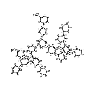 N#Cc1cccc(-c2ccc(-c3nc(-c4ccc(-c5cccc(C#N)c5)c(-n5c6ccc(-c7ccccc7)cc6c6cc(-c7ccccc7)ccc65)c4)nc(-c4ccc(-c5cccc(C#N)c5)c(-n5c6ccc(-c7ccccc7)cc6c6cc(-c7ccccc7)ccc65)c4)n3)cc2)c1